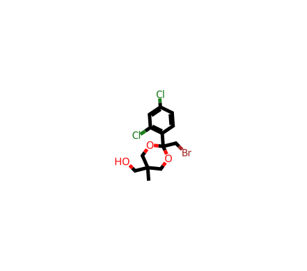 CC1(CO)COC(CBr)(c2ccc(Cl)cc2Cl)OC1